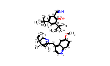 C=C[C@H]1CN2CC[C@H]1C[C@@H]2Cc1ccnc2ccc(OC)cc12.CC(C)(C)c1cc(C=N)c(O)c(C(C)(C)C)c1